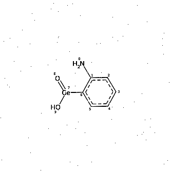 Nc1cccc[c]1[Ge](=[O])[OH]